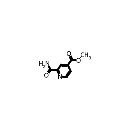 COC(=O)c1ccnc(C(N)=O)c1